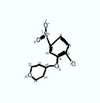 O=[N+]([O-])c1ccc(Cl)c(OC2CCOCC2)c1